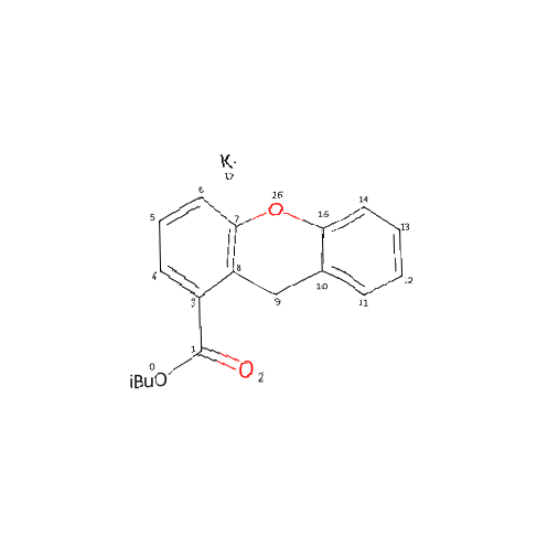 CC(C)COC(=O)c1cccc2c1Cc1ccccc1O2.[K]